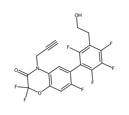 C#CCN1C(=O)C(F)(F)Oc2cc(F)c(-c3c(F)c(F)c(F)c(CCO)c3F)cc21